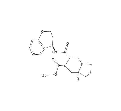 CC(C)(C)OC(=O)N1C[C@@H]2CCCN2C[C@H]1C(=O)N[C@@H]1CCOc2ccccc21